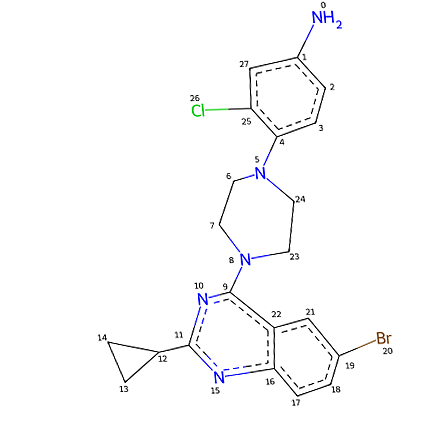 Nc1ccc(N2CCN(c3nc(C4CC4)nc4ccc(Br)cc34)CC2)c(Cl)c1